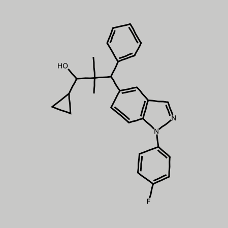 CC(C)(C(c1ccccc1)c1ccc2c(cnn2-c2ccc(F)cc2)c1)C(O)C1CC1